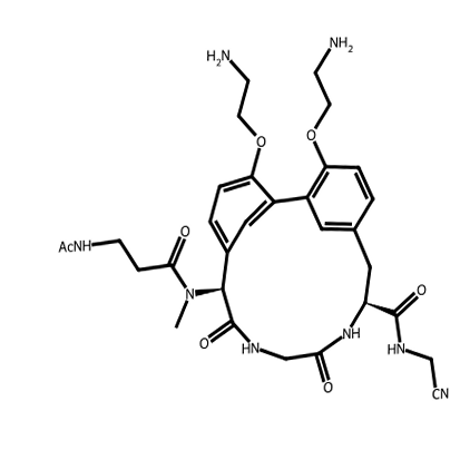 CC(=O)NCCC(=O)N(C)[C@@H]1C(=O)NCC(=O)N[C@H](C(=O)NCC#N)Cc2ccc(OCCN)c(c2)-c2cc1ccc2OCCN